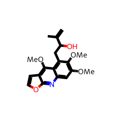 C=C(C)C(O)Cc1c(OC)c(OC)cc2nc3occc3c(OC)c12